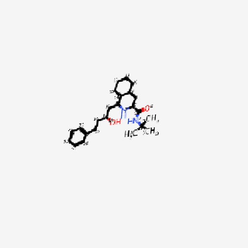 CC(C)(C)NC(=O)C1CC2CCCCC2C(CC(O)CCc2ccccc2)N1